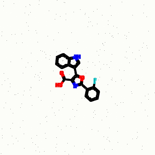 O=C(O)c1nc(-c2ccccc2F)oc1-c1c[nH]c2ccccc12